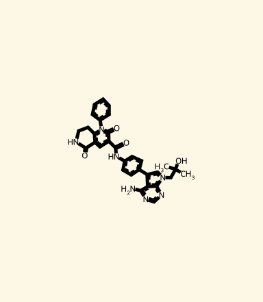 CC(C)(O)Cn1cc(-c2ccc(NC(=O)c3cc4c(n(-c5ccccc5)c3=O)CCNC4=O)cc2)c2c(N)ncnc21